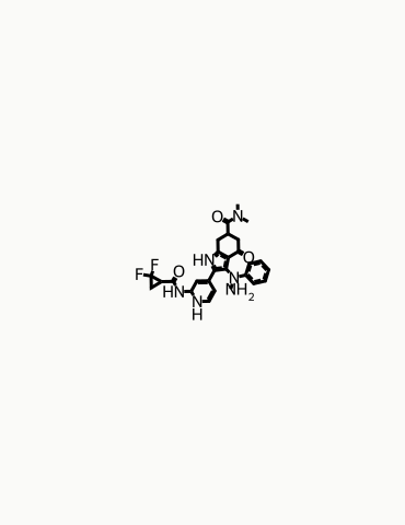 CN(C)C(=O)C1CC(=O)c2c([nH]c(C3=CC(NC(=O)C4CC4(F)F)NC=C3)c2N(N)c2ccccc2)C1